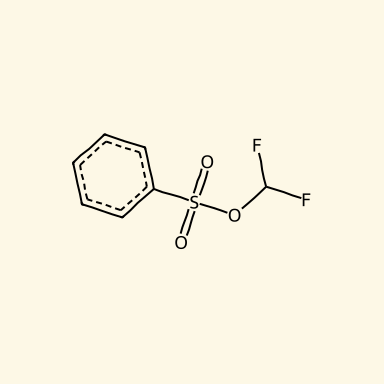 O=S(=O)(OC(F)F)c1ccccc1